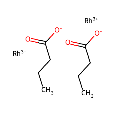 CCCC(=O)[O-].CCCC(=O)[O-].[Rh+3].[Rh+3]